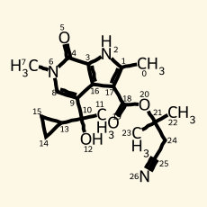 Cc1[nH]c2c(=O)n(C)cc(C(C)(O)C3CC3)c2c1C(=O)OC(C)(C)CC#N